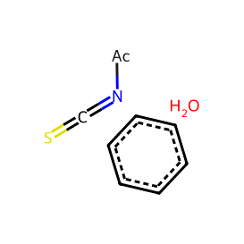 CC(=O)N=C=S.O.c1ccccc1